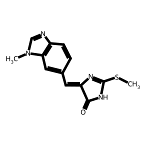 CSC1=N/C(=C\c2ccc3ncn(C)c3c2)C(=O)N1